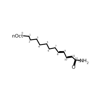 CCCCCCCCCCCCCCCC=CC=CC(N)=O